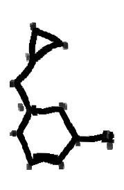 CCC1C=CCN(CC2CC2)C1